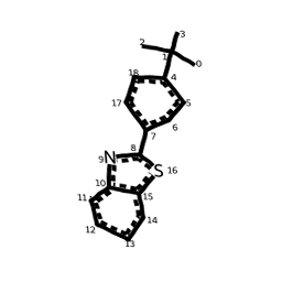 CC(C)(C)c1ccc(-c2nc3[c]cccc3s2)cc1